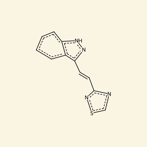 C(=Cc1n[nH]c2ccccc12)c1ncsn1